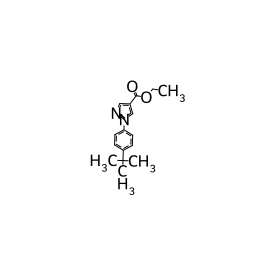 CCOC(=O)c1cnn(-c2ccc(C(C)(C)C)cc2)c1